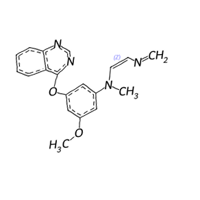 C=N/C=C\N(C)c1cc(OC)cc(Oc2ncnc3ccccc23)c1